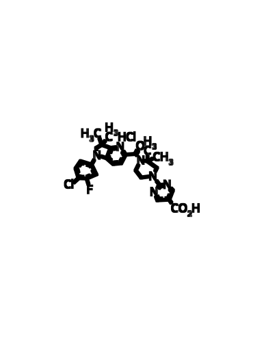 CC1(C)CN(c2ccc(Cl)c(F)c2)c2ccc(C(=O)N3CCN(c4ncc(C(=O)O)cn4)CC3(C)C)nc21.Cl